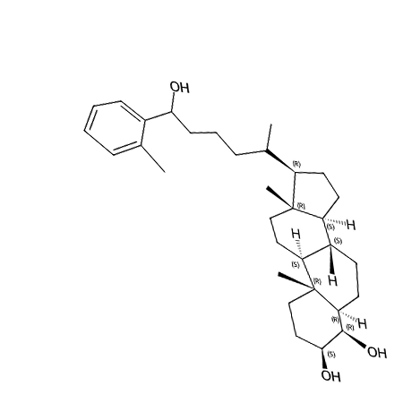 Cc1ccccc1C(O)CCCC(C)[C@H]1CC[C@H]2[C@@H]3CC[C@H]4[C@@H](O)[C@@H](O)CC[C@]4(C)[C@H]3CC[C@]12C